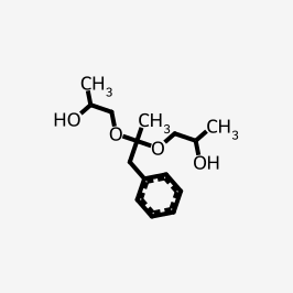 CC(O)COC(C)(Cc1ccccc1)OCC(C)O